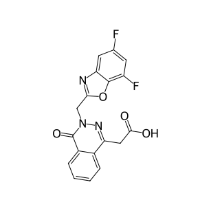 O=C(O)Cc1nn(Cc2nc3cc(F)cc(F)c3o2)c(=O)c2ccccc12